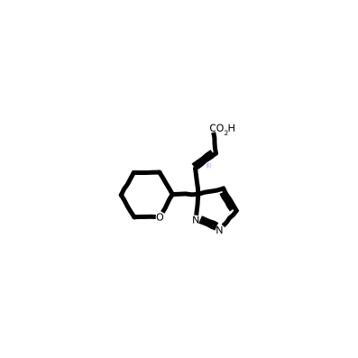 O=C(O)/C=C/C1(C2CCCCO2)C=CN=N1